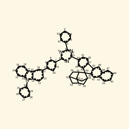 c1ccc(-c2nc(-c3ccc(-c4ccc5c(c4)c4ccccc4n5-c4ccccc4)cc3)nc(-c3ccc4c(c3)C3(c5cc6ccccc6cc5-4)C4CC5CC(C4)CC3C5)n2)cc1